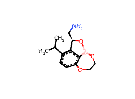 CC(C)c1ccc2c3c1[C@@H](CN)OB3OCCO2